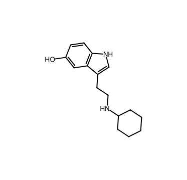 Oc1ccc2[nH]cc(CCNC3CCCCC3)c2c1